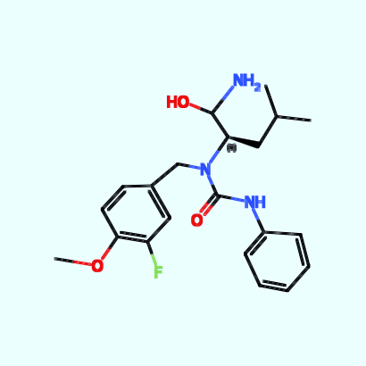 COc1ccc(CN(C(=O)Nc2ccccc2)[C@H](CC(C)C)C(N)O)cc1F